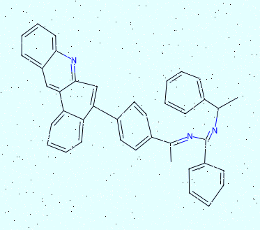 C/C(=N\C(=N/C(C)c1ccccc1)c1ccccc1)c1ccc(-c2cc3nc4ccccc4cc3c3ccccc23)cc1